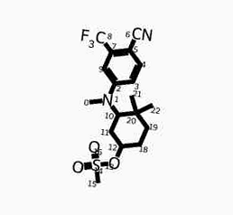 CN(c1ccc(C#N)c(C(F)(F)F)c1)C1CC(OS(C)(=O)=O)CCC1(C)C